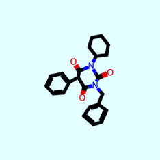 O=C1C(c2ccccc2)C(=O)N(C2CCCCC2)C(=O)N1Cc1ccccc1